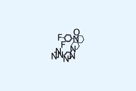 O=C1CCCC2(CCN(c3cc(-n4cncn4)ncn3)CC2)N1c1ccc(F)c(F)c1